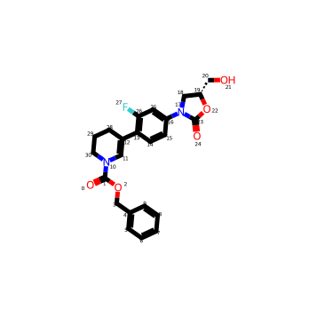 O=C(OCc1ccccc1)N1C=C(c2ccc(N3C[C@H](CO)OC3=O)cc2F)CCC1